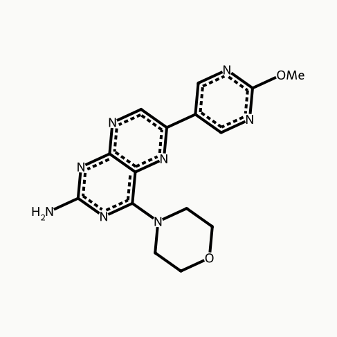 COc1ncc(-c2cnc3nc(N)nc(N4CCOCC4)c3n2)cn1